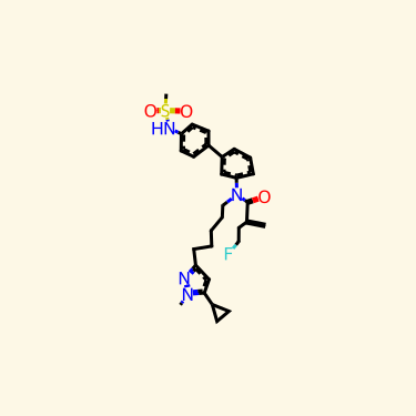 C=C(CCF)C(=O)N(CCCCCc1cc(C2CC2)n(C)n1)c1cccc(-c2ccc(NS(C)(=O)=O)cc2)c1